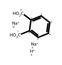 O=C(O)c1ccccc1C(=O)O.[H+].[Na+].[Na+]